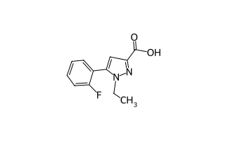 CCn1nc(C(=O)O)cc1-c1ccccc1F